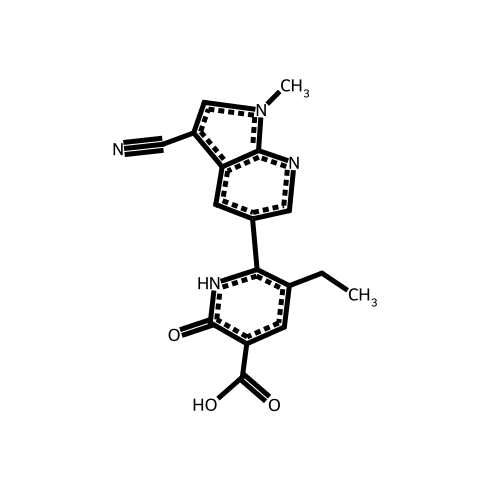 CCc1cc(C(=O)O)c(=O)[nH]c1-c1cnc2c(c1)c(C#N)cn2C